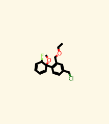 CCOCc1cc(CCl)ccc1C1(OC)C=CC=CC1F